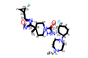 CC(C)N1CCN([C@@H]2CCC[C@@H](F)[C@H]2NC(=O)N2CCC(C)(c3noc(C4C[C@@H]4F)n3)CC2)CC1